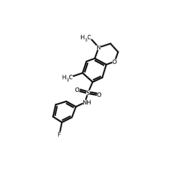 Cc1cc2c(cc1S(=O)(=O)Nc1cccc(F)c1)OCCN2C